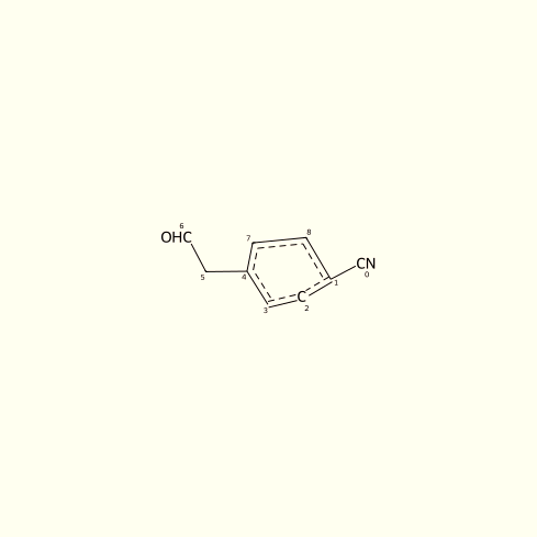 N#Cc1ccc(CC=O)cc1